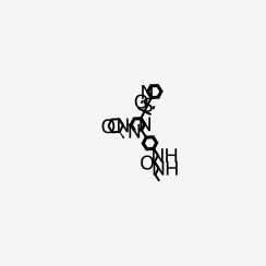 C=S(=O)(c1ccccn1)C(C)(C)c1cc(N2CCOC[C@@H]2C)nc(-c2ccc(NC(=O)NCC)cc2)n1